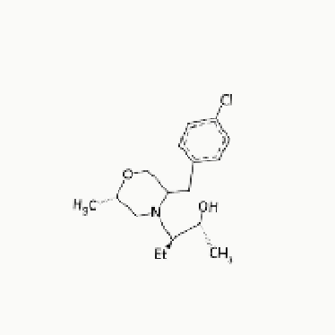 CC[C@H]([C@@H](C)O)N1C[C@H](C)OCC1Cc1ccc(Cl)cc1